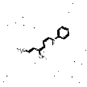 C/C=C/C(C)=C\C=C/Nc1ccccc1